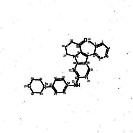 Cc1ccccc1-c1c2n(c3nc(Nc4ccc(N5CCOCC5)cc4)ncc13)CCCC2=O